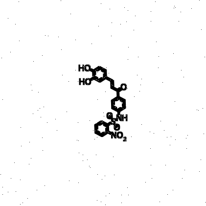 O=C(C=Cc1ccc(O)c(O)c1)c1ccc(NS(=O)(=O)c2ccccc2[N+](=O)[O-])cc1